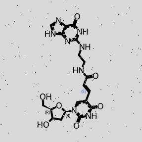 O=C(/C=C/c1cn([C@H]2CC(O)[C@@H](CO)O2)c(=O)[nH]c1=O)NCCNc1nc2[nH]cnc2c(=O)[nH]1